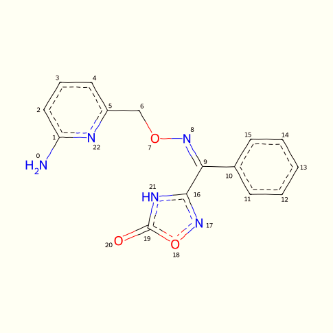 Nc1cccc(CON=C(c2ccccc2)c2noc(=O)[nH]2)n1